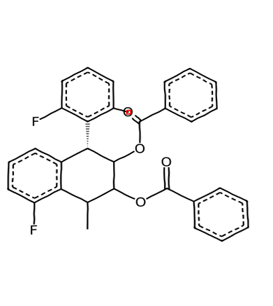 Cc1cccc(F)c1[C@H]1c2cccc(F)c2C(C)C(OC(=O)c2ccccc2)C1OC(=O)c1ccccc1